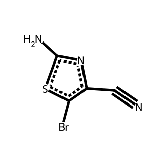 N#Cc1nc(N)sc1Br